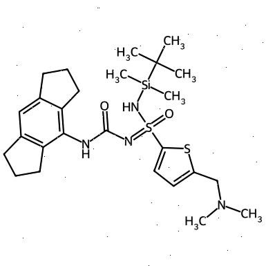 CN(C)Cc1ccc(S(=O)(=NC(=O)Nc2c3c(cc4c2CCC4)CCC3)N[Si](C)(C)C(C)(C)C)s1